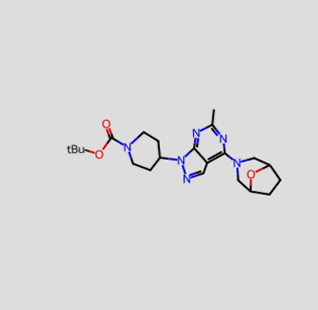 Cc1nc(N2CC3CCC(C2)O3)c2cnn(C3CCN(C(=O)OC(C)(C)C)CC3)c2n1